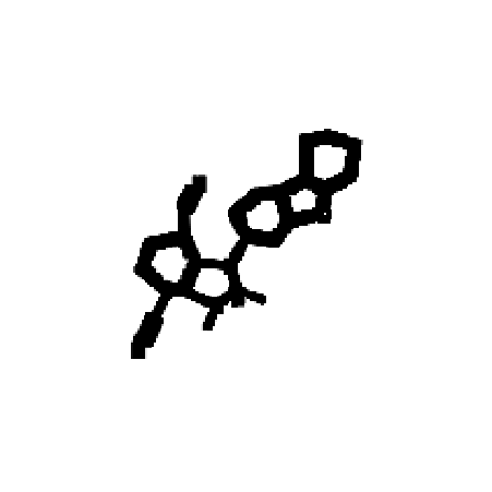 C[C@H]1N(C)c2c(C#N)ccc(C#N)c2N1c1ccc2c(c1)oc1ccccc12